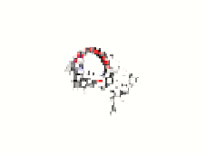 CCCCc1oc2ccccc2c1C(=O)c1cc(I)c(OCCN(CC)CC)c(I)c1.CCOc1ccc(NC(C)=O)cc1.CO[C@H]1/C=C/O[C@@]2(C)Oc3c(C)c(O)c4c(O)c(c(/C=N/N5CCN(C)CC5)c(O)c4c3C2=O)NC(=O)/C(C)=C\C=C\[C@H](C)[C@H](O)[C@@H](C)[C@@H](O)[C@@H](C)[C@H](OC(C)=O)[C@@H]1C